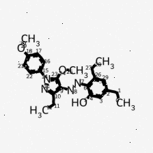 CCc1cc(O)c(N=Nc2c(CC)nn(-c3ccc(OC)cc3)c2OC)c(CC)c1